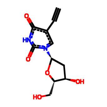 C#Cc1cn([C@@H]2C[C@@H](O)[C@H](CO)O2)c(=O)[nH]c1=O